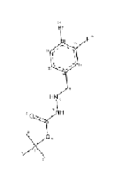 CC(C)(C)OC(=O)NNCc1ccc(Br)c(F)c1